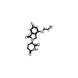 O=C1CCC(N2Cc3c(OCCBr)cc(F)cc3C2=O)C(=O)N1